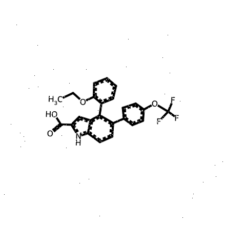 CCOc1ccccc1-c1c(-c2ccc(OC(F)(F)F)cc2)ccc2[nH]c(C(=O)O)cc12